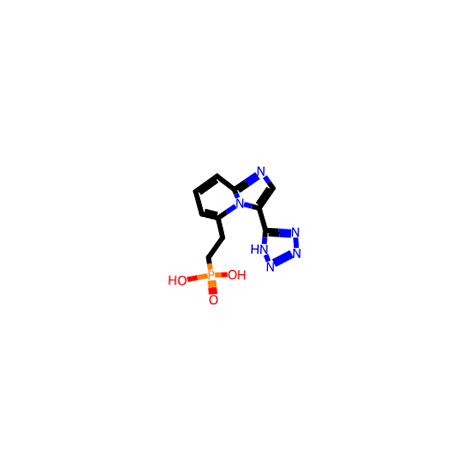 O=P(O)(O)CCc1cccc2ncc(-c3nnn[nH]3)n12